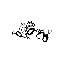 C[SH](N)(=O)c1cc(NC(=O)Cc2ccccc2Cl)cc2nn(Cc3ccc(F)cc3)cc12